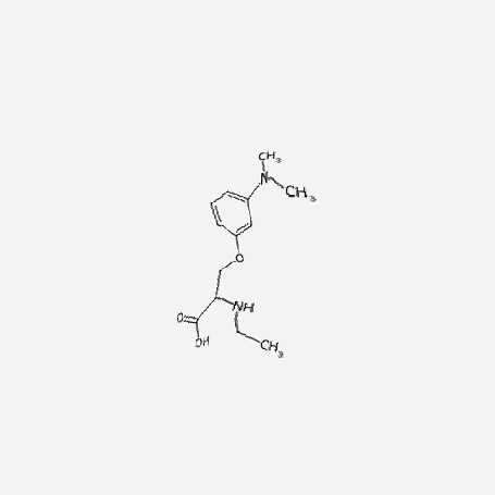 CCNC(COc1cccc(N(C)C)c1)C(=O)O